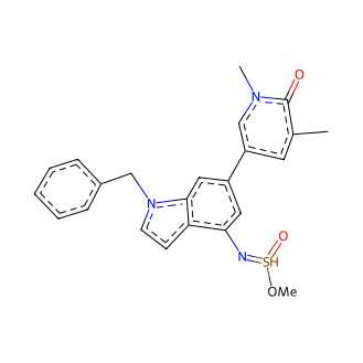 CO[SH](=O)=Nc1cc(-c2cc(C)c(=O)n(C)c2)cc2c1ccn2Cc1ccccc1